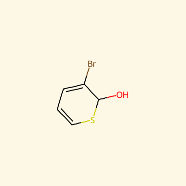 OC1SC=CC=C1Br